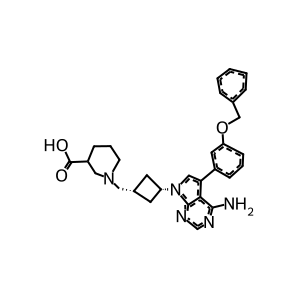 Nc1ncnc2c1c(-c1cccc(OCc3ccccc3)c1)cn2[C@H]1C[C@@H](CN2CCCC(C(=O)O)C2)C1